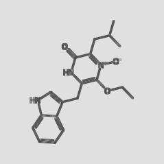 CCOc1c(Cc2c[nH]c3ccccc23)[nH]c(=O)c(CC(C)C)[n+]1[O-]